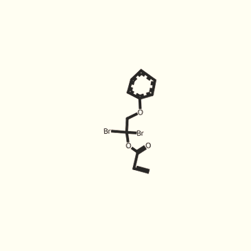 C=CC(=O)OC(Br)(Br)COc1ccccc1